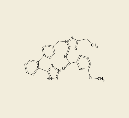 CCc1nn(Cc2ccc(-c3ccccc3-c3nnn[nH]3)cc2)c(=NC(=O)c2cccc(OC)c2)s1